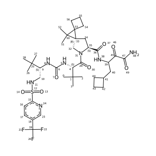 CC(C)(C)[C@H](NC(=O)N[C@H](CNS(=O)(=O)c1ccc(C(F)(F)F)cn1)C(C)(C)C)C(=O)N1C[C@]2(C[C@H]1C(=O)NC(CC1CCC1)C(=O)C(N)=O)C(C)(C)C21CCC1